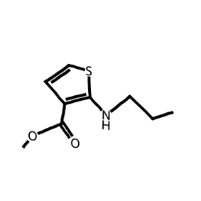 CCCNc1sccc1C(=O)OC